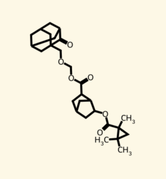 CC1(C)CC1(C)C(=O)OC1CC2CC(C(=O)OCOCC34CC5CC(CC(C5)C3=O)C4)C1C2